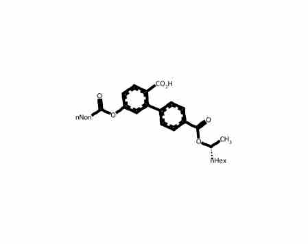 CCCCCCCCCC(=O)Oc1ccc(C(=O)O)c(-c2ccc(C(=O)O[C@H](C)CCCCCC)cc2)c1